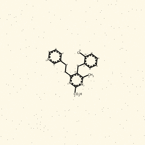 Cc1nc(C(=O)O)nc(CCc2cccnc2)c1Cc1ccccc1Cl